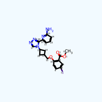 COC(=O)c1cc(I)ccc1OCC1CC(n2cnnc2-c2cccc(N)n2)C1